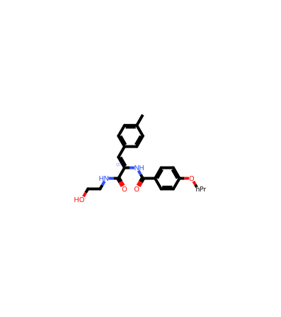 CCCOc1ccc(C(=O)N/C(=C\c2ccc(C)cc2)C(=O)NCCO)cc1